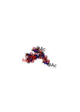 CC(=O)OC(C)CN(CC(C)O)C(=O)CCC(=O)OC(C)CN(CC(C)OC(=O)CCC(=O)N(CC(C)O)CC(C)OC(C)=O)C(=O)CCC(=O)N(CC(C)OC(=O)CCC(=O)N(CC(C)O)CC(C)O)CC(C)OC(=O)CCC(=O)N(CC(C)O)CC(C)O